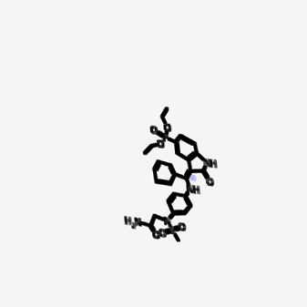 CCOP(=O)(OCC)c1ccc2c(c1)/C(=C(/Nc1ccc(N(CC(N)=O)S(C)(=O)=O)cc1)c1ccccc1)C(=O)N2